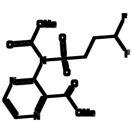 COC(=O)c1nccnc1N(C(=O)OC)S(=O)(=O)CCC(F)F